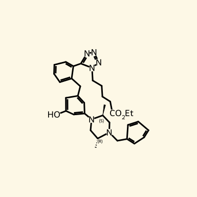 CCOC(=O)CCCCn1nnnc1-c1ccccc1Cc1cc(O)cc(N2C[C@@H](C)N(Cc3ccccc3)C[C@@H]2C)c1